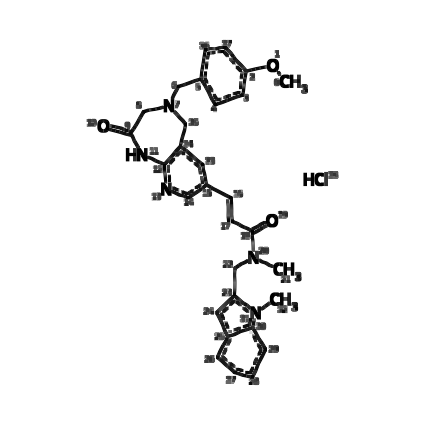 COc1ccc(CN2CC(=O)Nc3ncc(C=CC(=O)N(C)Cc4cc5ccccc5n4C)cc3C2)cc1.Cl